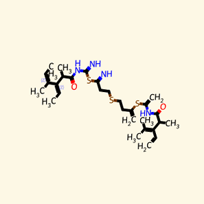 C=CC(=C(C)C)C(C)C(=O)NC(=C)SC(=C)CCSCCC(=N)SC(=N)NC(=O)C(C)C(=C/C)/C(C)=C\C